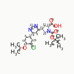 CC(C)Oc1ccc(-c2cc(C3CC(C(=O)O)N(C(=O)OC(C)(C)C)C3)ncn2)cc1Cl